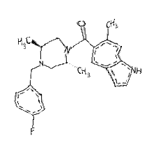 Cc1cc2[nH]ccc2cc1C(=O)N1C[C@H](C)N(Cc2ccc(F)cc2)C[C@H]1C